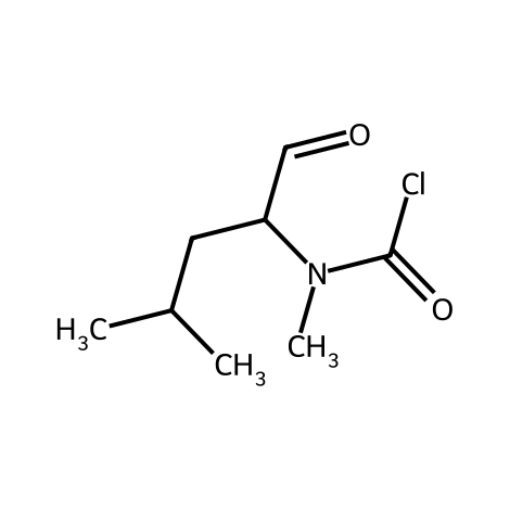 CC(C)CC(C=O)N(C)C(=O)Cl